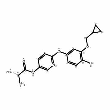 CCC[C@@H](N)C(=O)Nc1ccc(Oc2ccc(C#N)c(OCC3CC3)c2)nc1